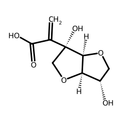 C=C(C(=O)O)[C@]1(O)CO[C@@H]2[C@@H](O)CO[C@@H]21